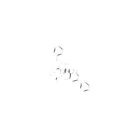 COC(=O)C(Cc1cc(-c2ccccc2)cnc1N)NC(=O)OCc1ccccc1